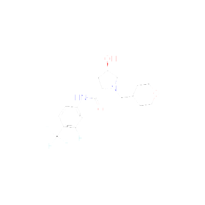 O=C(Nc1ccc(C(F)(F)F)c(F)c1)[C@@H]1C[C@@H](O)CN1CC1CCOCC1